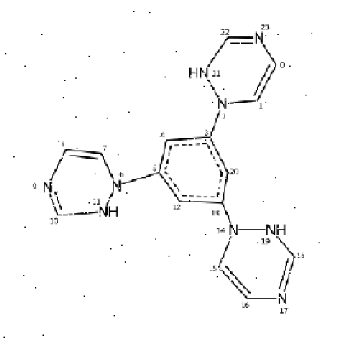 C1=CN(c2cc(N3C=CN=CN3)cc(N3C=CN=CN3)c2)NC=N1